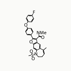 CNC(=O)c1c(-c2ccc(Oc3ccc(F)cc3)cc2)oc2cc3c(cc12)C(C)=CCCN3S(C)(=O)=O